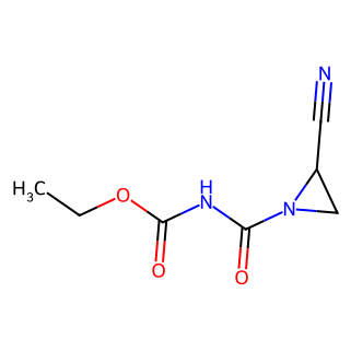 CCOC(=O)NC(=O)N1CC1C#N